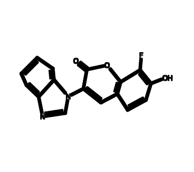 O=c1oc2c(F)c(O)ccc2cc1-n1cnc2ccccc21